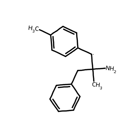 Cc1ccc([CH]C(C)(N)Cc2ccccc2)cc1